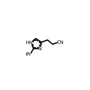 CC(C)c1nc(CCC#N)c[nH]1